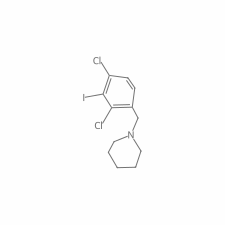 Clc1ccc(CN2CCCCC2)c(Cl)c1I